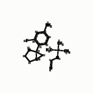 CC(C)(C)OC=O.Nc1ccc(C23CN2CCO3)c(F)c1